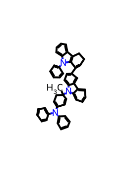 CC1(n2c3ccccc3c3cc(C4=CCCc5c4n(-c4ccccc4)c4ccccc54)ccc32)C=CC(N(c2ccccc2)c2ccccc2)=CC1